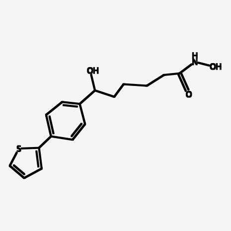 O=C(CCCCC(O)c1ccc(-c2cccs2)cc1)NO